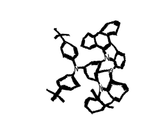 CC(C)(C)c1ccc(N(c2ccc(C(C)(C)C)cc2)c2cc3c4c(c2)-n2c5c(cccc5c5c6ccccc6c6ccccc6c52)B4c2cccc4c2N3C2(C)CCCCC42C)cc1